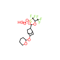 O=C(OC(C(F)(F)F)C(F)(F)SOOO)C1CC2CC1CC2OC1CCCCO1